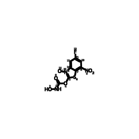 O=C(NO)Oc1sc2c([N+](=O)[O-])cc(F)cc2[n+]1[O-]